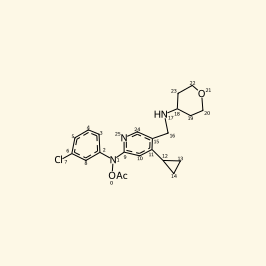 CC(=O)ON(c1cccc(Cl)c1)c1cc(C2CC2)c(CNC2CCOCC2)cn1